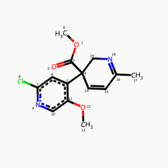 COC(=O)C1(c2cc(Cl)ncc2OC)C=CC(C)=NC1